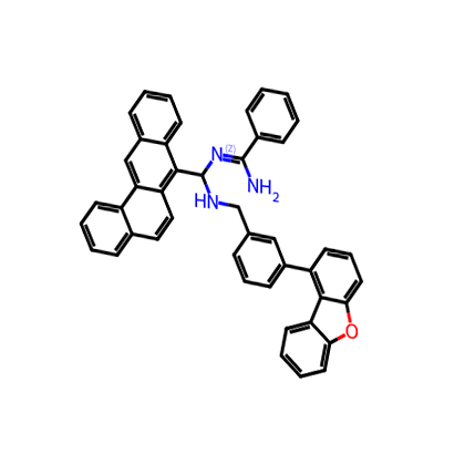 N/C(=N\C(NCc1cccc(-c2cccc3oc4ccccc4c23)c1)c1c2ccccc2cc2c1ccc1ccccc12)c1ccccc1